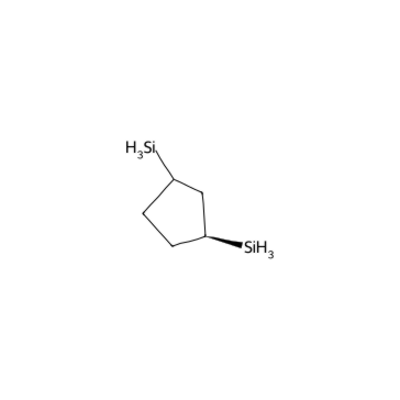 [SiH3]C1CC[C@H]([SiH3])C1